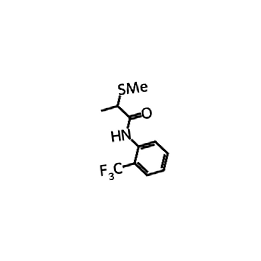 CSC(C)C(=O)Nc1ccccc1C(F)(F)F